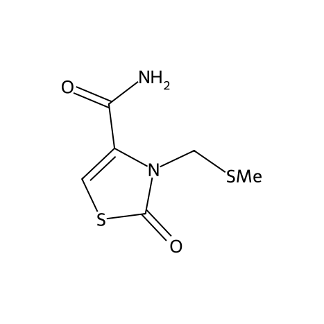 CSCn1c(C(N)=O)csc1=O